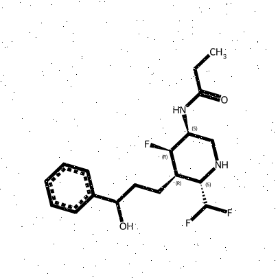 CCC(=O)N[C@H]1CN[C@H](C(F)F)[C@@H](CCC(O)c2ccccc2)[C@H]1F